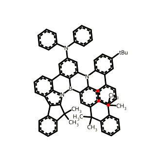 CC(C)(C)c1ccc(N2c3cc4c(cc3B3c5c(cc(N(c6ccccc6)c6ccccc6)cc52)-c2cccc5c6c(n3c25)C(C)(C)c2ccccc2-6)C(C)(C)c2ccccc2C4(C)C)c(-c2ccccc2)c1